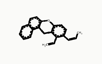 C=Cc1c(/C=C\C)ccc2c1Cc1c(ccc3ccccc13)O2